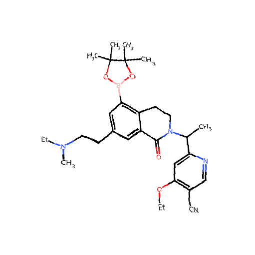 CCOc1cc(C(C)N2CCc3c(B4OC(C)(C)C(C)(C)O4)cc(CCN(C)CC)cc3C2=O)ncc1C#N